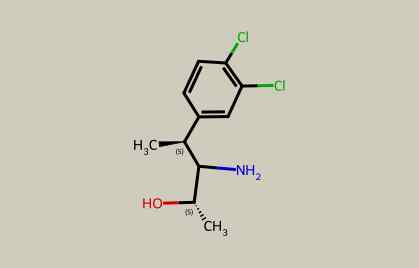 C[C@H](O)C(N)[C@@H](C)c1ccc(Cl)c(Cl)c1